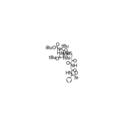 CSCC(NC(=O)[C@@H]1C[C@@H](OC(C)(C)C)CN1C(=O)[C@@H](NC(=O)OCC(C)C)C(C)(C)C)C(=O)C(=O)NCC(=O)N[C@H](C(=O)N(C)C)c1ccccc1